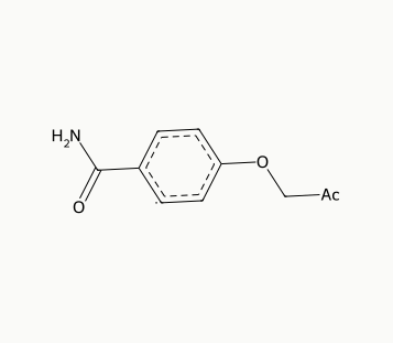 CC(=O)COc1c[c]c(C(N)=O)cc1